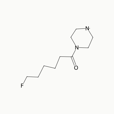 O=C(CCCCCF)N1CC[N]CC1